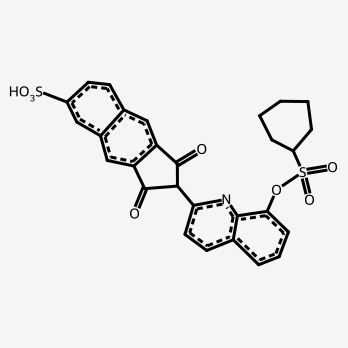 O=C1c2cc3ccc(S(=O)(=O)O)cc3cc2C(=O)C1c1ccc2cccc(OS(=O)(=O)C3CCCCC3)c2n1